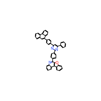 c1ccc(-c2cc(-c3ccc(-c4cc5ccccc5c5ccccc45)cc3)nc(-c3ccc(-c4nc5ccccc5c5c4oc4ccccc45)cc3)n2)cc1